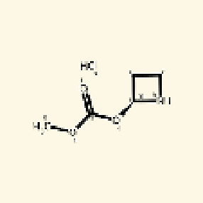 COC(=O)O[C@H]1CCN1.Cl